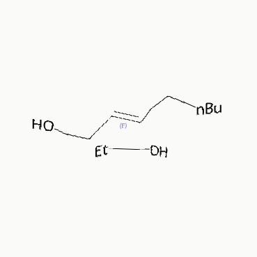 CCCCC/C=C/CO.CCO